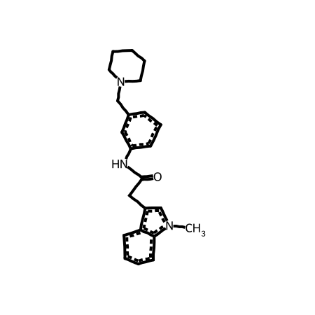 Cn1cc(CC(=O)Nc2cccc(CN3CCCCC3)c2)c2ccccc21